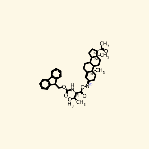 CC(=O)[C@H]1CCC2C3CCC4=C/C(=N\OC(=O)[C@@H](NC(=O)OCC5c6ccccc6-c6ccccc65)C(C)C)CC[C@]4(C)C3CC[C@@]21C